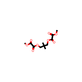 COC(=O)C(=O)OCC(C)(C)COC(=O)C(=O)OC